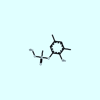 Cc1cc(C)c(C(C)(C)C)c(OP(C)(=O)OC(C)(C)C)c1